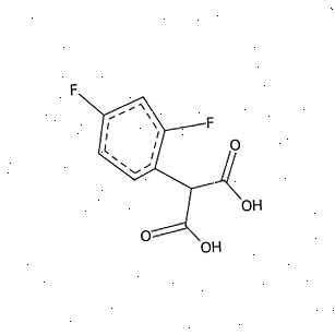 O=C(O)C(C(=O)O)c1ccc(F)cc1F